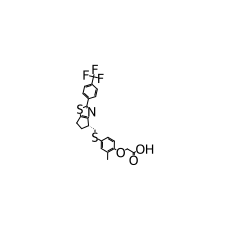 Cc1cc(SC[C@@H]2CCc3sc(-c4ccc(C(F)(F)F)cc4)nc32)ccc1OCC(=O)O